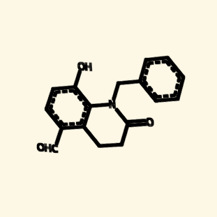 O=Cc1ccc(O)c2c1CCC(=O)N2Cc1ccccc1